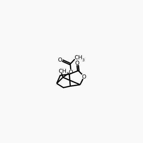 CC(=O)OC1(C)C2CC3C(=O)OC1C3C2